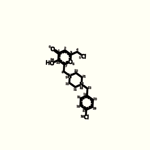 O=c1cc(CCl)oc(CN2CCN(Cc3ccc(Cl)cc3)CC2)c1O